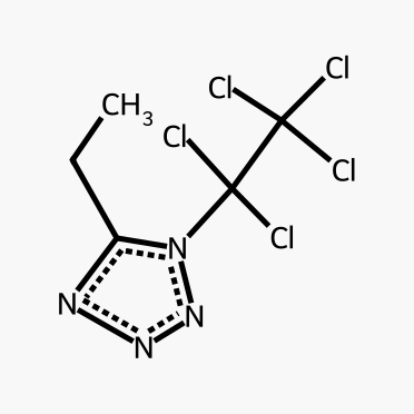 CCc1nnnn1C(Cl)(Cl)C(Cl)(Cl)Cl